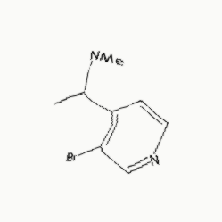 CNC(C)c1ccncc1Br